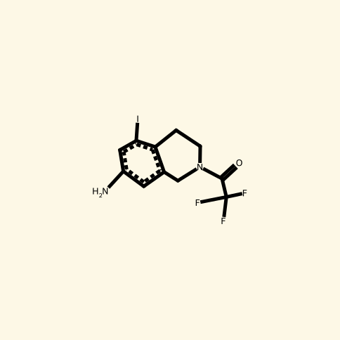 Nc1cc(I)c2c(c1)CN(C(=O)C(F)(F)F)CC2